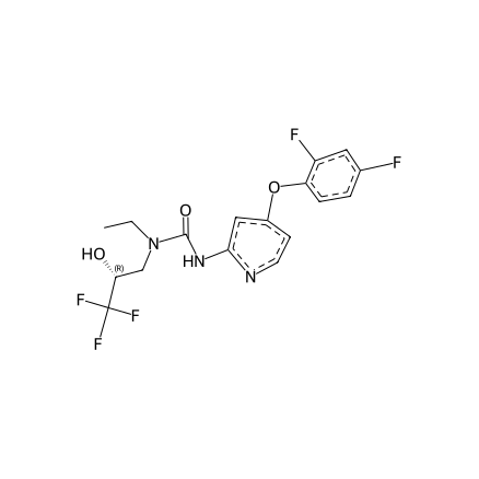 CCN(C[C@@H](O)C(F)(F)F)C(=O)Nc1cc(Oc2ccc(F)cc2F)ccn1